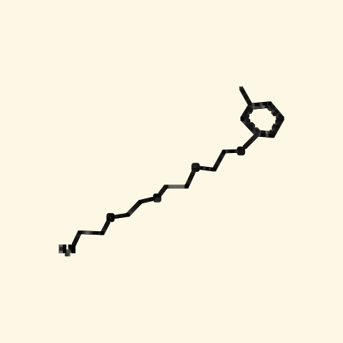 Cc1cccc(OCCOCCOCCOCCN)c1